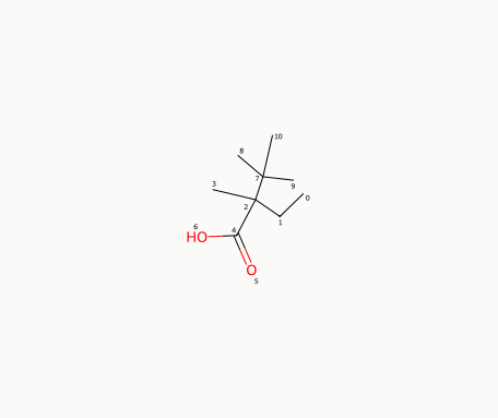 CCC(C)(C(=O)O)C(C)(C)C